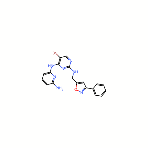 Nc1cccc(Nc2nc(NCc3cc(-c4ccccc4)no3)ncc2Br)n1